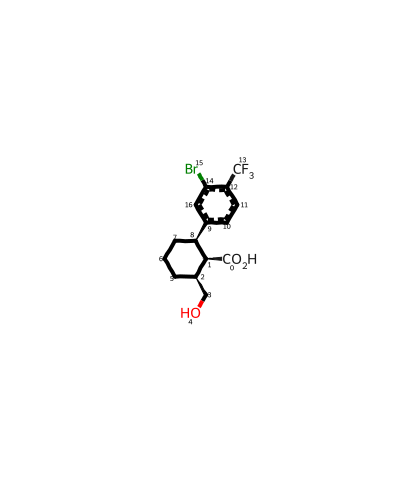 O=C(O)[C@H]1[C@@H](CO)CCC[C@H]1c1ccc(C(F)(F)F)c(Br)c1